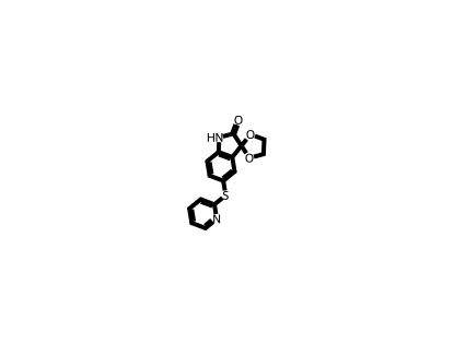 O=C1Nc2ccc(Sc3ccccn3)cc2C12OCCO2